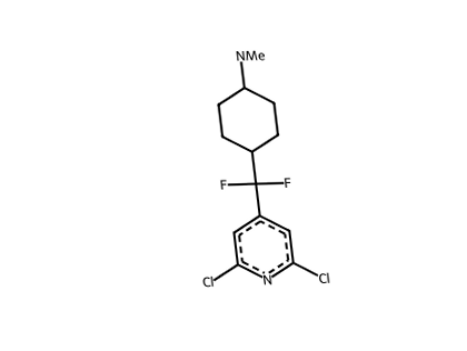 CNC1CCC(C(F)(F)c2cc(Cl)nc(Cl)c2)CC1